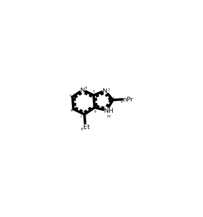 CCCc1nc2nccc(CC)c2[nH]1